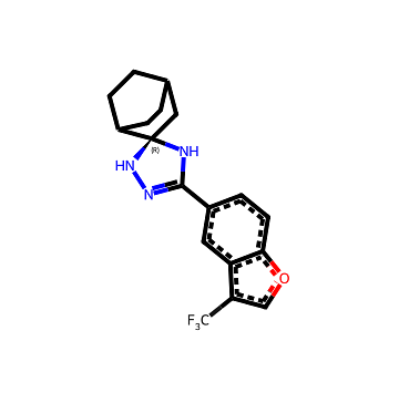 FC(F)(F)c1coc2ccc(C3=NN[C@@]4(CC5CCC4CC5)N3)cc12